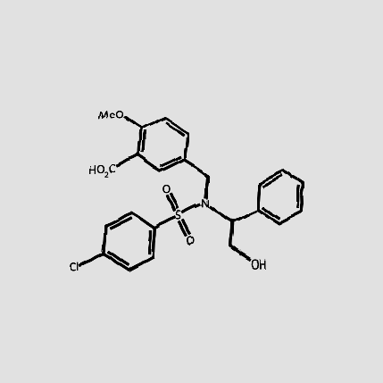 COc1ccc(CN(C(CO)c2ccccc2)S(=O)(=O)c2ccc(Cl)cc2)cc1C(=O)O